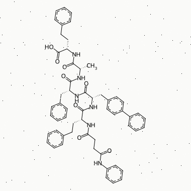 C[C@H](NC(=O)[C@@H](Cc1ccccc1)NC(=O)[C@H](Cc1ccc(-c2ccccc2)cc1)NC(=O)[C@@H](CCc1ccccc1)NC(=O)CCC(=O)Nc1ccccc1)C(=O)N[C@@H](CCc1ccccc1)C(=O)O